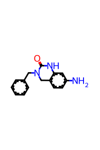 Nc1ccc2c(c1)NC(=O)N(Cc1ccccc1)C2